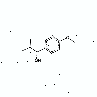 COc1ccc(C(O)C(C)C)cn1